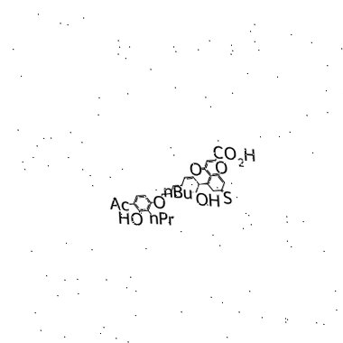 CCCC[C@@H](O)[C@@H](/C=C\CCCCOc1ccc(C(C)=O)c(O)c1CCC)C1=c2c(=O)cc(C(=O)O)oc2=CC(=S)C1